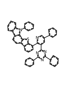 c1ccc(-c2cnc(-c3cccc4c3sc3c4ccc4c5ccccc5n(-c5ccccc5)c43)c(-c3nc(-c4ccccc4)nc(-c4ccccc4)n3)c2)cc1